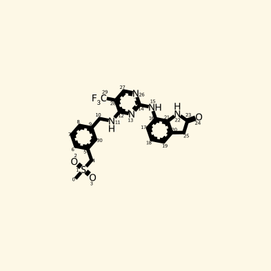 CS(=O)(=O)Cc1cccc(CNc2nc(Nc3cccc4c3NC(=O)C4)ncc2C(F)(F)F)c1